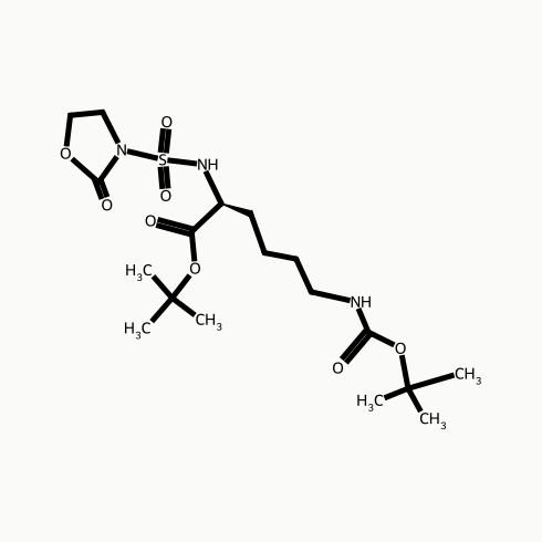 CC(C)(C)OC(=O)NCCCC[C@H](NS(=O)(=O)N1CCOC1=O)C(=O)OC(C)(C)C